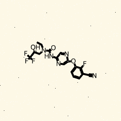 CCN(C[C@@H](O)C(F)(F)F)C(=O)Nc1cnc(Oc2cccc(C#N)c2F)cn1